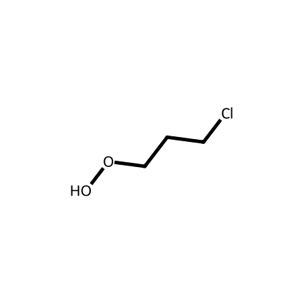 OOCCCCl